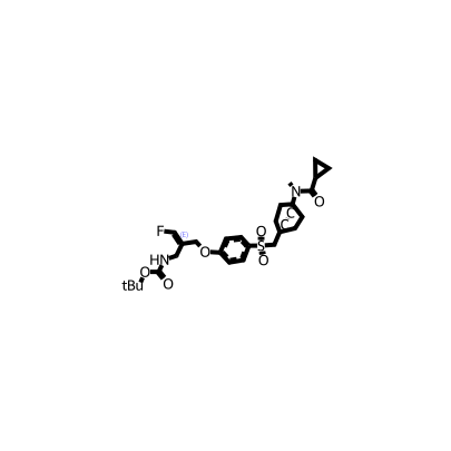 CN(C(=O)C1CC1)C12CCC(CS(=O)(=O)c3ccc(OC/C(=C/F)CNC(=O)OC(C)(C)C)cc3)(CC1)CC2